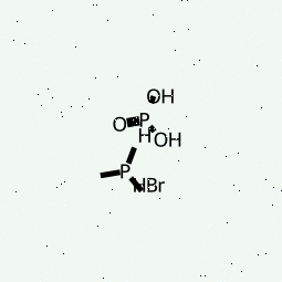 Br.CP(C)C.O=[PH](O)O